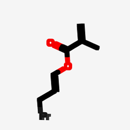 C=C(C)C(=O)OC=CCC(C)C